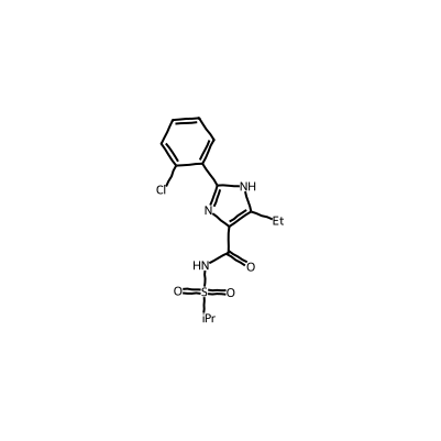 CCc1[nH]c(-c2ccccc2Cl)nc1C(=O)NS(=O)(=O)C(C)C